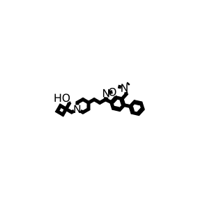 CN(C)Cc1c(-c2ccccc2)ccc2c(CCC3CCN(CC4(CO)CCC4)CC3)noc12